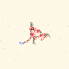 BC1CC(OP(O)(=S)OCC2OC(B)CC2OP(=S)(OCCOCCOCCN)OCC2OC(B)CC2OP(O)(=S)OCC)C(COC)O1